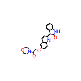 O=C1Nc2ccccc2/C1=C1\C=Cc2cc(OCC(=O)N3CCOCC3)ccc2N1